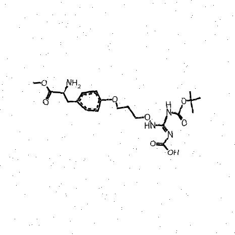 COC(=O)[C@@H](N)Cc1ccc(OCCCON/C(=N\C(=O)O)NC(=O)OC(C)(C)C)cc1